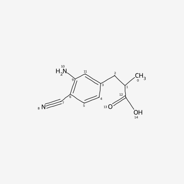 CC(Cc1ccc(C#N)c(N)c1)C(=O)O